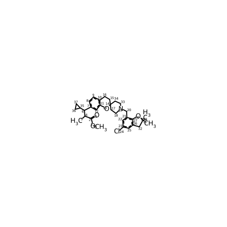 COC(=O)C(C)C(c1ccc2c(c1)OC1(CC2)CCN(Cc2cc(Cl)cc3c2OC(C)(C)C3)CC1)C1CC1